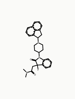 CN(C)C(=O)CC1(F)C(=O)N(C2CCN(C3Cc4cccc5cccc3c45)CC2)c2ccccc21